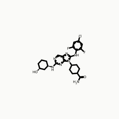 NC(=O)C1CCC(n2c(Nc3c(F)cc(Cl)cc3F)nc3cnc(N[C@@H]4CCC[C@H](O)C4)nc32)CC1